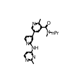 CCCN(C)C(=O)c1cc(-c2ccnc(Nc3ccnc(C)n3)c2)cnc1C